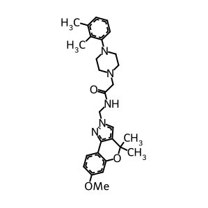 COc1ccc2c(c1)OC(C)(C)c1cn(CNC(=O)CN3CCN(c4cccc(C)c4C)CC3)nc1-2